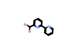 BrC(Br)c1cccc(-c2ccccn2)n1